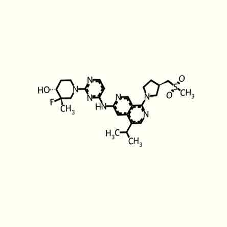 CC(C)c1cnc(N2CC[C@@H](CS(C)(=O)=O)C2)c2cnc(Nc3ccnc(N4CC[C@@H](O)[C@@](C)(F)C4)n3)cc12